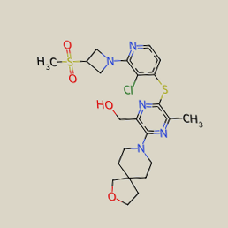 Cc1nc(N2CCC3(CCOC3)CC2)c(CO)nc1Sc1ccnc(N2CC(S(C)(=O)=O)C2)c1Cl